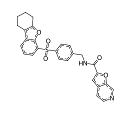 O=C(NCc1ccc(S(=O)(=O)c2cccc3c4c(oc23)CCCC4)cc1)c1cc2ccncc2o1